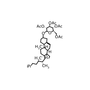 CC(=O)OC[C@H]1OC(OC2CC[C@@]3(C)C(=CC[C@H]4[C@@H]5CC[C@H]([C@H](C)CCCC(C)C)[C@@]5(C)CC[C@@H]43)C2)[C@H](OC(C)=O)[C@@H](OC(C)=O)[C@@H]1OC(C)=O